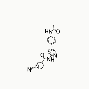 CC(=O)Nc1ccc(-c2cnc(NC(=O)C3CCN(C#N)C3)s2)cc1